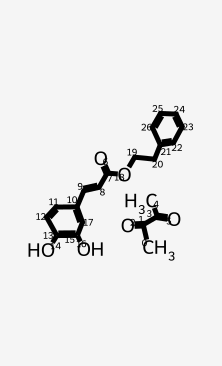 CC(=O)C(C)=O.O=C(C=Cc1ccc(O)c(O)c1)OCCc1ccccc1